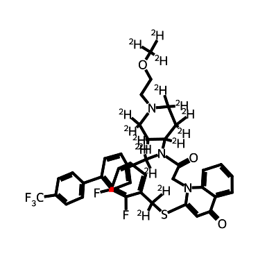 [2H]C([2H])([2H])OCCN1C([2H])([2H])C([2H])([2H])C([2H])(N(C(=O)Cn2c(SC([2H])([2H])c3cccc(F)c3F)cc(=O)c3ccccc32)C([2H])([2H])c2ccc(-c3ccc(C(F)(F)F)cc3)cc2)C([2H])([2H])C1([2H])[2H]